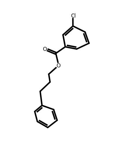 O=C(OCCCc1ccccc1)c1cccc(Cl)c1